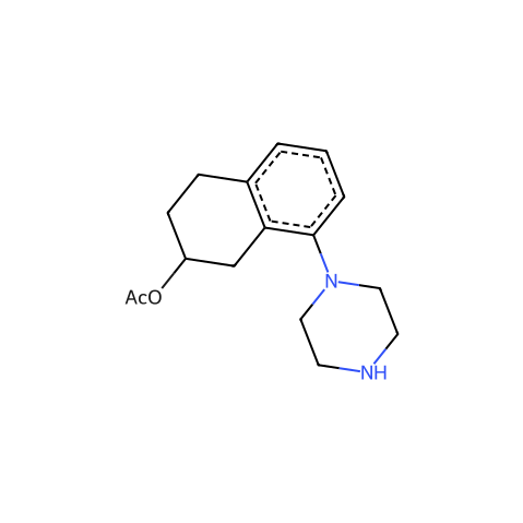 CC(=O)OC1CCc2cccc(N3CCNCC3)c2C1